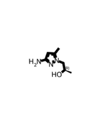 Cc1cc(N)nn1C[C@@H](C)O